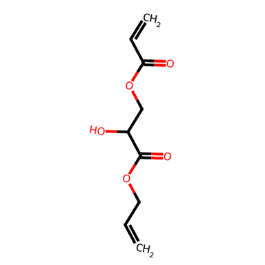 C=CCOC(=O)C(O)COC(=O)C=C